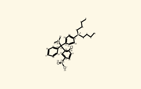 CCCCN(CCCC)c1ccc(C(c2ccccc2)(c2cc([N+](=O)[O-])ccc2Cl)N(C)C)cc1